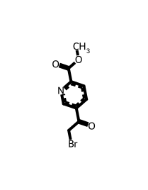 COC(=O)c1ccc(C(=O)CBr)cn1